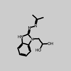 CC(C)=NN=c1[nH]c2ccccc2n1CC(O)O